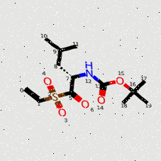 C=CS(=O)(=O)C(=O)[C@H](CC(C)C)NC(=O)OC(C)(C)C